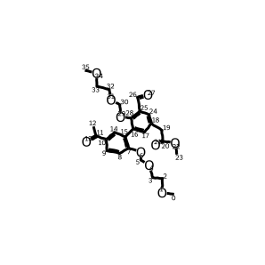 COCCOCOc1ccc(C(C)=O)cc1-c1cc(CC(=O)OC)cc(C=O)c1OCOCCOC